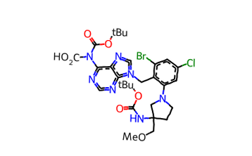 COCC1(NC(=O)OC(C)(C)C)CCN(c2cc(Cl)cc(Br)c2Cn2cnc3c(N(C(=O)O)C(=O)OC(C)(C)C)ncnc32)C1